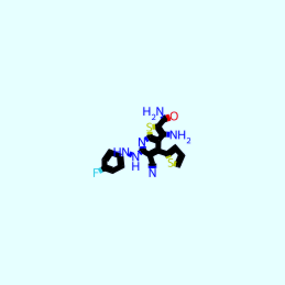 N#Cc1c(NNc2ccc(F)cc2)nc2sc(C(N)=O)c(N)c2c1-c1cccs1